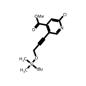 COC(=O)c1cc(Cl)ncc1C#CCO[Si](C)(C)C(C)(C)C